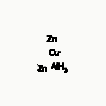 [AlH3].[Cu].[Zn].[Zn]